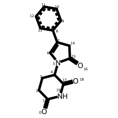 O=C1CCC(N2C=C(c3ccccc3)CC2=O)C(=O)N1